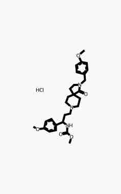 COC(=O)NC(CCN1CCC2(CC1)CCN(Cc1ccc(OC)cc1)C2=O)c1ccc(OC)cc1.Cl